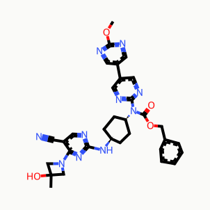 COc1ncc(-c2cnc(N(C(=O)OCc3ccccc3)[C@H]3CC[C@H](Nc4ncc(C#N)c(N5CC(C)(O)C5)n4)CC3)nc2)cn1